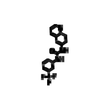 O=C(Nc1cccc(C(F)(F)F)c1)Nc1ccc2ncccc2c1